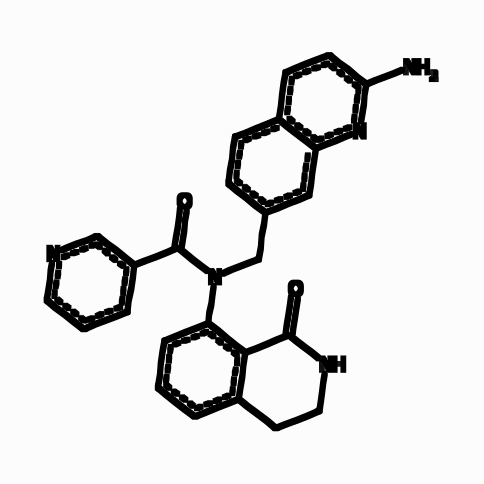 Nc1ccc2ccc(CN(C(=O)c3cccnc3)c3cccc4c3C(=O)NCC4)cc2n1